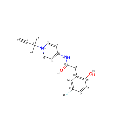 C#CC(C)(C)N1C=CC(NC(=O)Cc2cc(F)ccc2O)=CC1